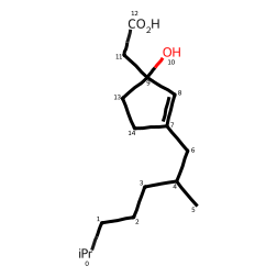 CC(C)CCCC(C)CC1=CC(O)(CC(=O)O)CC1